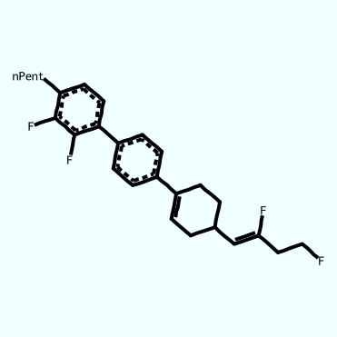 CCCCCc1ccc(-c2ccc(C3=CCC(/C=C(\F)CCF)CC3)cc2)c(F)c1F